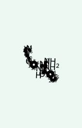 NC1N=C(Nc2ccc(OCCn3ccnc3)cc2)N(C(=O)c2ccc3sccc3c2)N1